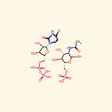 CC(=O)N[C@H]1C(O)O[C@H](COS(=O)(=O)O)[C@@H](O)[C@@H]1O.O=c1ccn([C@@H]2O[C@H](COP(=O)(O)OP(=O)(O)O)[C@@H](O)[C@H]2O)c(=O)[nH]1